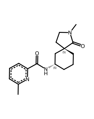 Cc1cccc(C(=O)N[C@H]2CCC[C@]3(CCN(C)C3=O)C2)n1